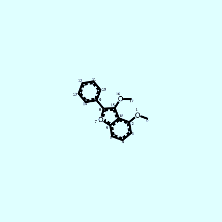 COc1cccc2oc(-c3ccccc3)c(OC)c12